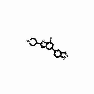 Fc1cc(-c2ccc3sncc3c2)cn2cc(C3CCNCC3)nc12